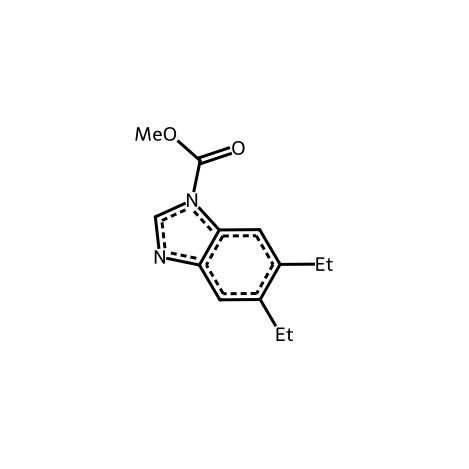 CCc1cc2ncn(C(=O)OC)c2cc1CC